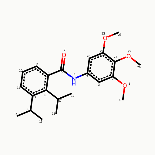 COc1cc(NC(=O)c2cccc(C(C)C)c2C(C)C)cc(OC)c1OC